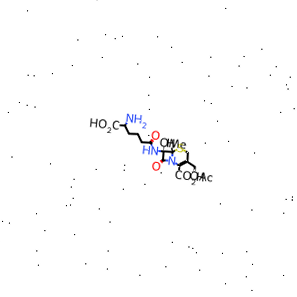 CO[C@@]1(NC(=O)CCCC(N)C(=O)O)C(=O)N2C(C(=O)O)=C(COC(C)=O)CS[C@H]21